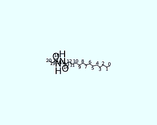 CCCCCCCCCCCCCC(=O)NNC(=O)CC